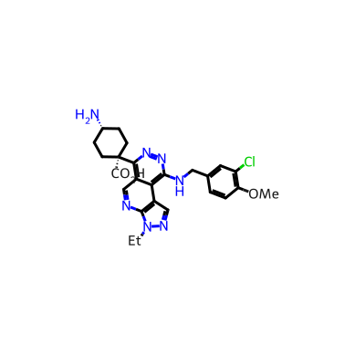 CCn1ncc2c3c(NCc4ccc(OC)c(Cl)c4)nnc([C@]4(C(=O)O)CC[C@@H](N)CC4)c3cnc21